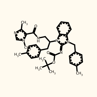 Cc1ccc(CC(CNC(=O)c2c(C)ncn2C)n2c(=NC(=O)OC(C)(C)C)n(Cc3ccc(C)cc3)c3ccccc32)cc1